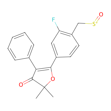 CC1(C)OC(c2ccc(C[S+]=O)c(F)c2)=C(c2ccccc2)C1=O